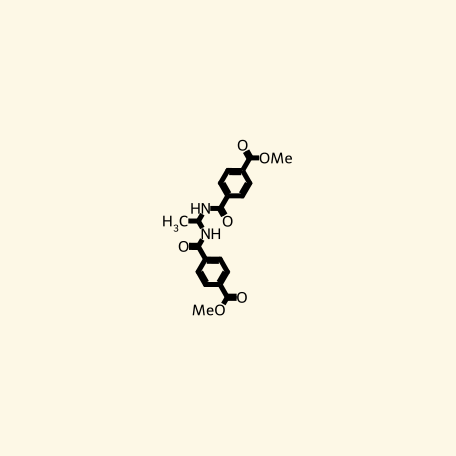 COC(=O)c1ccc(C(=O)NC(C)NC(=O)c2ccc(C(=O)OC)cc2)cc1